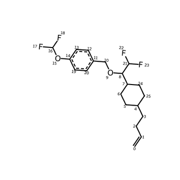 C=CCCC1CCC(C(OCc2ccc(OC(F)F)cc2)C(F)F)CC1